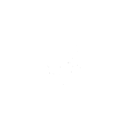 CC(C)(C)OC(=O)N(c1ccc2c(c1)C(I)(C(=O)OC(C)(C)C)N=N2)S(=O)(=O)c1cccs1